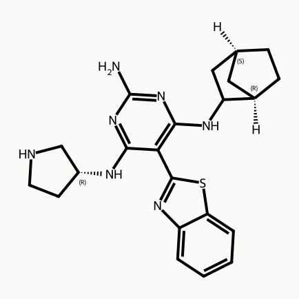 Nc1nc(NC2C[C@H]3CC[C@@H]2C3)c(-c2nc3ccccc3s2)c(N[C@@H]2CCNC2)n1